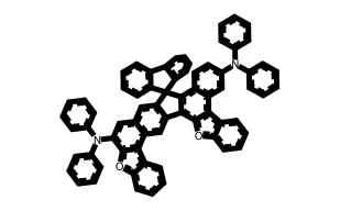 c1ccc(N(c2ccccc2)c2ccc3c4c(c5oc6ccccc6c5c3c2)-c2cc3c(cc2C42c4ccccc4-c4ccccc42)cc(N(c2ccccc2)c2ccccc2)c2oc4ccccc4c23)cc1